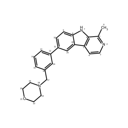 Cc1nccc2c1[nH]c1ccc(-c3cccc(CN4CCOCC4)c3)cc12